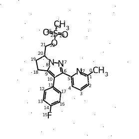 Cc1cccc(-c2nn3c(c2-c2ccc(F)cc2)CCC3COS(C)(=O)=O)n1